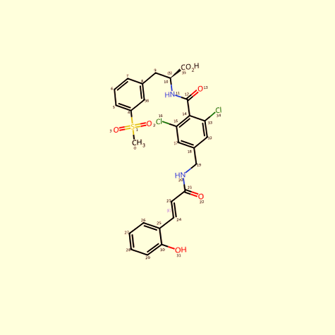 CS(=O)(=O)c1cccc(C[C@H](NC(=O)c2c(Cl)cc(CNC(=O)/C=C/c3ccccc3O)cc2Cl)C(=O)O)c1